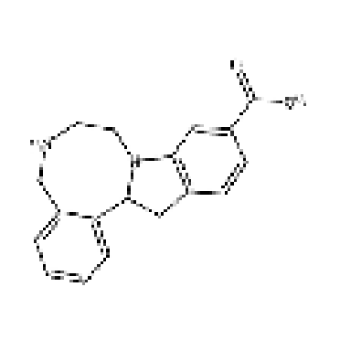 O=C(O)c1ccc2c(c1)N1CCNCc3ccccc3C1C2